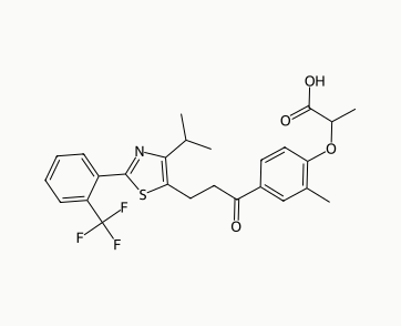 Cc1cc(C(=O)CCc2sc(-c3ccccc3C(F)(F)F)nc2C(C)C)ccc1OC(C)C(=O)O